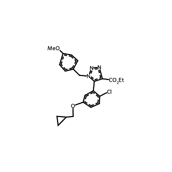 CCOC(=O)c1nnn(Cc2ccc(OC)cc2)c1-c1cc(OCC2CC2)ccc1Cl